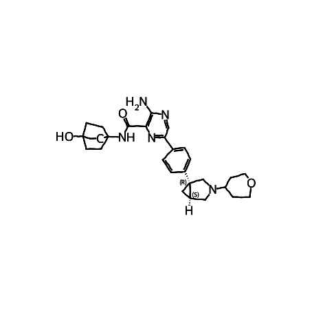 Nc1ncc(-c2ccc([C@@]34C[C@@H]3CN(C3CCOCC3)C4)cc2)nc1C(=O)NC12CCC(O)(CC1)CC2